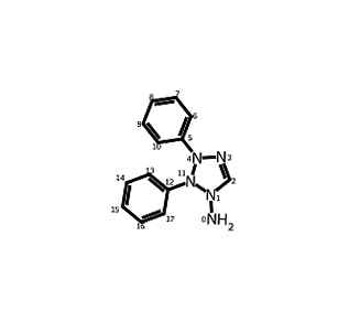 NN1C=NN(c2ccccc2)N1c1ccccc1